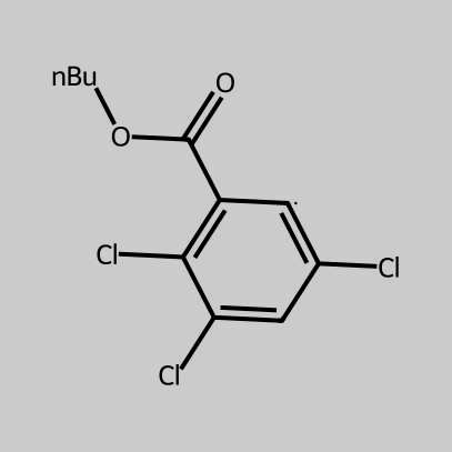 CCCCOC(=O)c1[c]c(Cl)cc(Cl)c1Cl